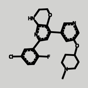 CN1CCC(Oc2cncc(-c3cc(-c4cc(Cl)ccc4F)nc4c3OCCN4)c2)CC1